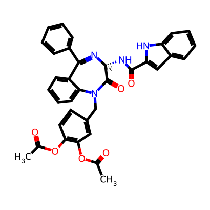 CC(=O)Oc1ccc(CN2C(=O)[C@@H](NC(=O)c3cc4ccccc4[nH]3)N=C(c3ccccc3)c3ccccc32)cc1OC(C)=O